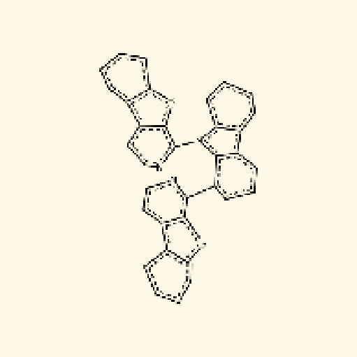 c1ccc2c(c1)sc1c(-c3cccc4c5ccccc5n(-c5nccc6c5sc5ccccc56)c34)nccc12